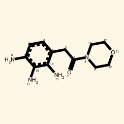 Nc1ccc(CC(=O)N2CCOCC2)c(N)c1N